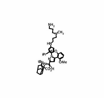 COc1cccc(OC)c1-c1cc(C(=O)NC2(C(=O)O)C3CC4CC(C3)CC2(C(C)(C)C)C4)nn1-c1ccc(NCCCN(C)CCCN)cc1C(C)C